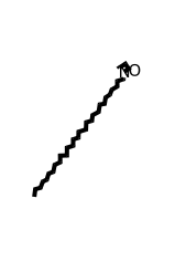 CCCCCCCCCCCCCCCCCCCCCCCCCCCCCN1CCC1=O